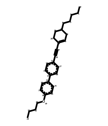 CCCCCC1CC=C(C#Cc2ccc(-c3ccc(OCCCC)cc3)cc2)CC1